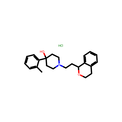 Cc1ccccc1C1(O)CCN(CCC2OCCc3ccccc32)CC1.Cl